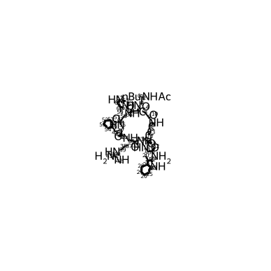 CCCC[C@H](NC(C)=O)C(=O)N[C@H]1CCC(=O)NCCC[C@@H](C(=O)N[C@@H](Cc2c[nH]c3ccccc23)C(N)=O)NC(=O)[C@H](CCCNC(=N)N)NC(=O)[C@@H](Cc2ccccc2)NC(=O)[C@H](Cc2c[nH]cn2)NC1=O